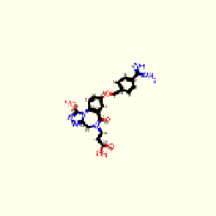 N=C(N)c1ccc(COc2ccc3c(c2)C(=O)N(CCC(=O)O)Cc2nnc(O)n2-3)cc1